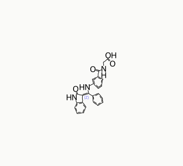 O=C(O)CNC(=O)c1cccc(N/C(=C2\C(=O)Nc3ccccc32)c2ccccc2)c1